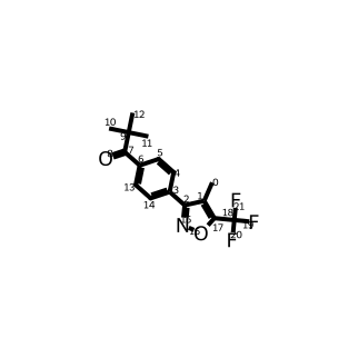 Cc1c(-c2ccc(C(=O)C(C)(C)C)cc2)noc1C(F)(F)F